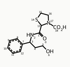 O=C(NC(CCO)c1ccccc1)C1SCCN1C(=O)O